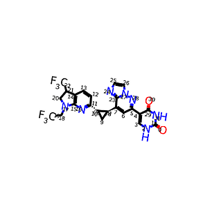 O=c1[nH]cc(-c2cc([C@H]3C[C@@H]3c3ccc4c(n3)N(CC(F)(F)F)CC4C(F)(F)F)c3nccn3n2)c(=O)[nH]1